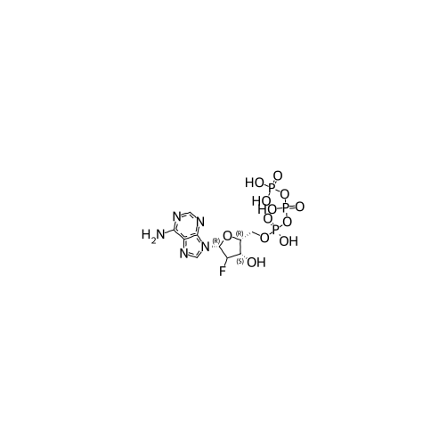 Nc1ncnc2c1ncn2[C@@H]1O[C@H](COP(=O)(O)OP(=O)(O)OP(=O)(O)O)[C@H](O)C1F